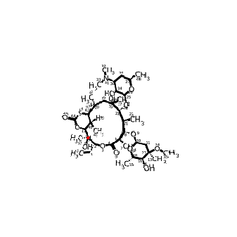 CC[C@H]1OC(=O)[C@H](C)[C@@H](O[C@H]2C[C@@](C)(OC)[C@@H](O)[C@H](C)O2)[C@H](C)[C@@H](O[C@@H]2O[C@H](C)C[C@H](N(C)C)[C@H]2O)C(C)(O)C[C@@H](C)[C@H]2SC(=O)O[C@H]([C@H]2C)[C@]1(C)O